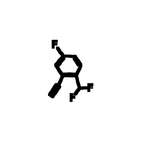 C#Cc1cc(F)ccc1C(F)F